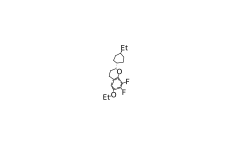 CCOc1cc2c(c(F)c1F)OC([C@H]1CC[C@H](CC)CC1)CC2